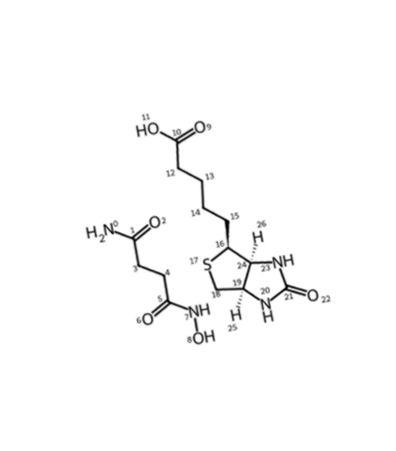 NC(=O)CCC(=O)NO.O=C(O)CCCC[C@@H]1SC[C@@H]2NC(=O)N[C@@H]21